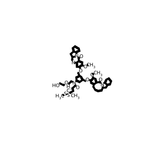 COc1cc2c(cc1OCc1cc(COc3cc4c(cc3OC)C(=O)N3c5ccccc5CC3C=N4)cc(N(CCOCCO)C(=O)CCC(C)(C)SSC)c1)CC=C=CC1Cc3ccccc3N1C2=O